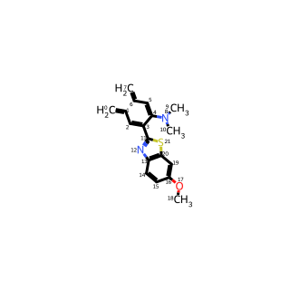 C=C/C=C(\C(=C/C=C)N(C)C)c1nc2ccc(OC)cc2s1